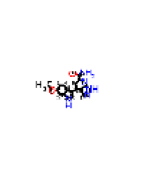 COc1ccc2c(-c3cc(C(N)=O)nc4[nH]ncc34)c[nH]c2c1